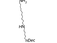 CCCCCCCCCCCCCCCCNCCCCCCCCCCCCN